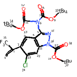 C=C(c1cc2c(N(C(=O)OC(C)(C)C)C(=O)OC(C)(C)C)nn(C(=O)OC(C)(C)C)c2cc1Cl)C(F)(F)F